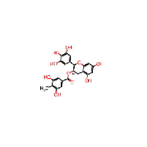 Cc1c(O)cc(C(=O)O[C@@H]2Cc3c(O)cc(O)cc3OC2c2cc(O)c(O)c(O)c2)cc1O